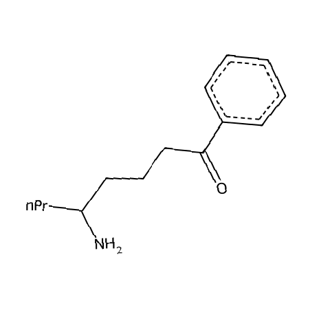 CCCC(N)CCCC(=O)c1ccccc1